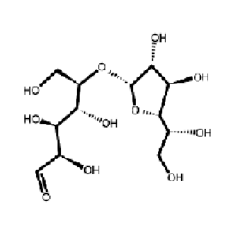 O=C[C@H](O)[C@@H](O)[C@@H](O)[C@@H](CO)O[C@H]1O[C@@H]([C@H](O)CO)[C@H](O)[C@H]1O